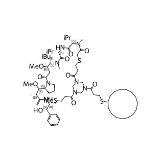 C=C(N[C@H](C)[C@@H](O)c1ccccc1)[C@H](C)[C@@H](OC)[C@@H]1CCCN1C(=O)C[C@@H](OC)[C@H]([C@@H](C)CC)N(C)C(=O)[C@@H](NC(=O)[C@H](C(C)C)N(C)C(=O)CSCCC(=O)N1CN(C(=O)CCSC)CN(C(=O)CCSC2CCCCCCCCCCCCCC2)C1)C(C)C